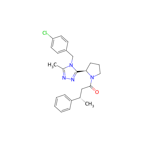 Cc1nnc([C@H]2CCCN2C(=O)C[C@H](C)c2ccccc2)n1Cc1ccc(Cl)cc1